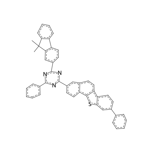 CC1(C)c2ccccc2-c2ccc(-c3nc(-c4ccccc4)nc(-c4ccc5c(ccc6c7ccc(-c8ccccc8)cc7sc56)c4)n3)cc21